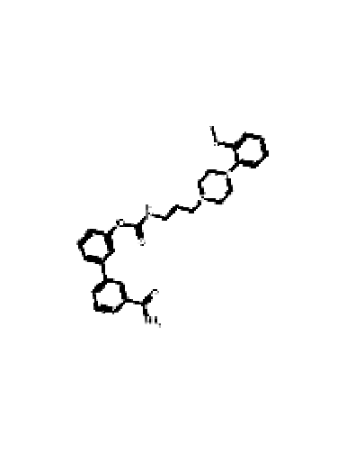 COc1ccccc1N1CCN(CCCNC(=O)Oc2cccc(-c3cccc(C(N)=O)c3)c2)CC1